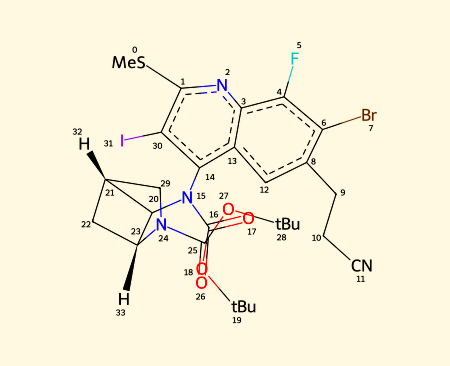 CSc1nc2c(F)c(Br)c(CCC#N)cc2c(N(C(=O)OC(C)(C)C)C2[C@@H]3C[C@H]2N(C(=O)OC(C)(C)C)C3)c1I